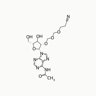 CC(=O)Nc1ncnc2c1ncn2[C@@H]1O[C@H](CO)C(O)[C@@H]1OCOCOCCC#N